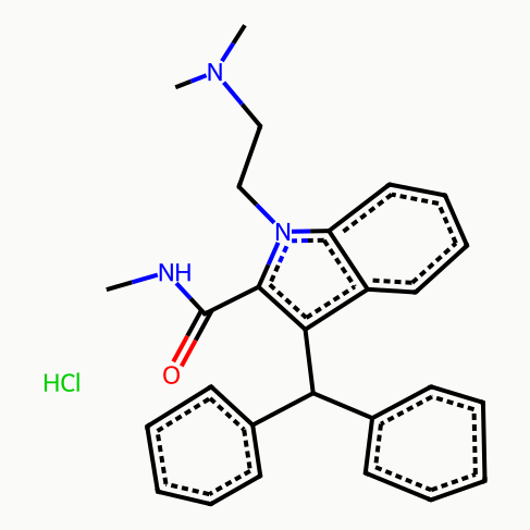 CNC(=O)c1c(C(c2ccccc2)c2ccccc2)c2ccccc2n1CCN(C)C.Cl